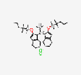 CCCC(C)(C)[Si](C)(C)OC1=CC2=C(CCCC2)[CH]1[Zr+2]([CH]1C(O[Si](C)(C)C(C)(C)CCC)=CC2=C1CCCC2)[SiH](C)C.[Cl-].[Cl-]